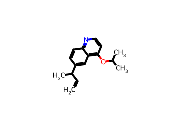 C=CC(C)c1ccc2nccc(OC(C)C)c2c1